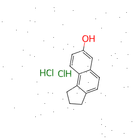 Cl.Cl.Oc1ccc2c3c(ccc2c1)CCC3